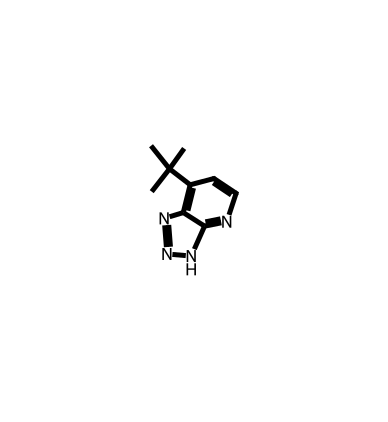 CC(C)(C)c1ccnc2[nH]nnc12